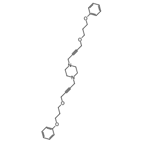 C(#CCN1CCN(CC#CCOCCCOc2ccccc2)CC1)COCCCOc1ccccc1